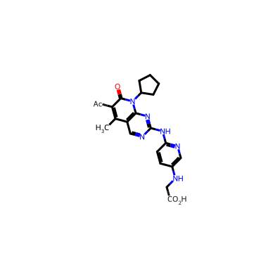 CC(=O)c1c(C)c2cnc(Nc3ccc(NCC(=O)O)cn3)nc2n(C2CCCC2)c1=O